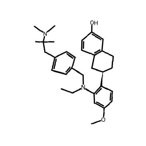 CCN(Cc1ccc(CC(C)(C)N(C)C)cc1)c1cc(OC)ccc1[C@@H]1CCc2cc(O)ccc2C1